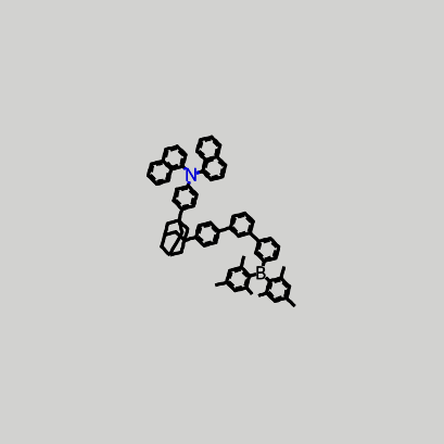 Cc1cc(C)c(B(c2cccc(-c3cccc(-c4ccc(C56CC7CC(C5)CC(c5ccc(N(c8cccc9ccccc89)c8cccc9ccccc89)cc5)(C7)C6)cc4)c3)c2)c2c(C)cc(C)cc2C)c(C)c1